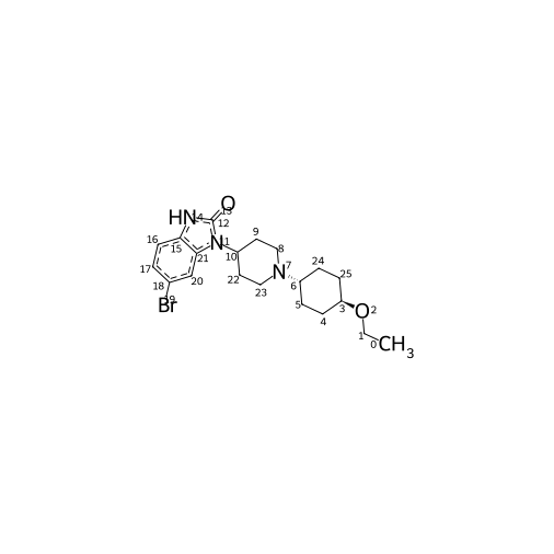 CCO[C@H]1CC[C@H](N2CCC(n3c(=O)[nH]c4ccc(Br)cc43)CC2)CC1